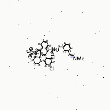 CN/C=C/c1cccc(CONC(=O)[C@@H]2c3ccccc3C(=O)N([C@H]3CCCC[C@@H]3NS(C)(=O)=O)[C@H]2c2ccc(Cl)cc2Cl)c1